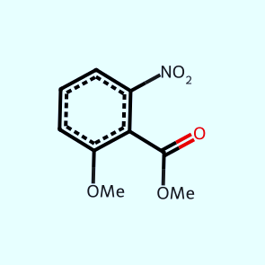 COC(=O)c1c(OC)cccc1[N+](=O)[O-]